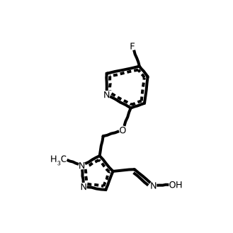 Cn1ncc(/C=N/O)c1COc1ccc(F)cn1